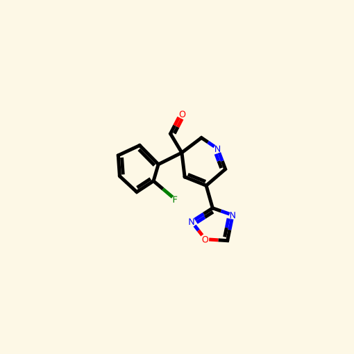 O=CC1(c2ccccc2F)C=C(c2ncon2)C=NC1